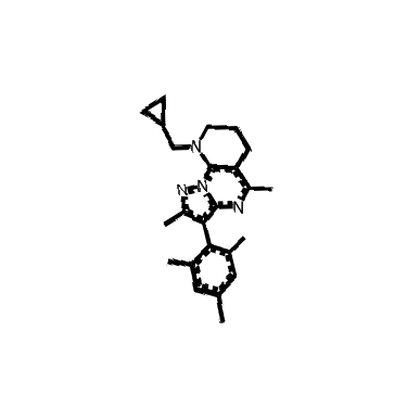 Cc1cc(C)c(-c2c(C)nn3c4c(c(C)nc23)CCCN4CC2CC2)c(C)c1